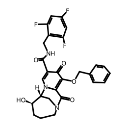 O=C(NCc1c(F)cc(F)cc1F)c1cn2c(c(OCc3ccccc3)c1=O)C(=O)N1CCC[C@@H](O)[C@H]2C1